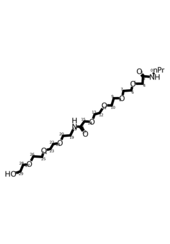 CCCNC(=O)COCCOCCOCCOCC(=O)NCCOCCOCCOCCO